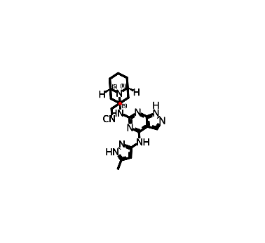 Cc1cc(Nc2nc(N[C@@H]3C[C@H]4CCC[C@@H](C3)N4CCC#N)nc3[nH]ncc23)n[nH]1